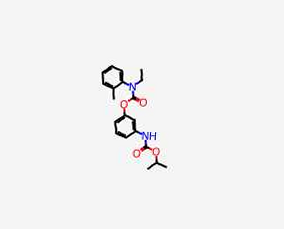 CCN(C(=O)Oc1cccc(NC(=O)OC(C)C)c1)c1ccccc1C